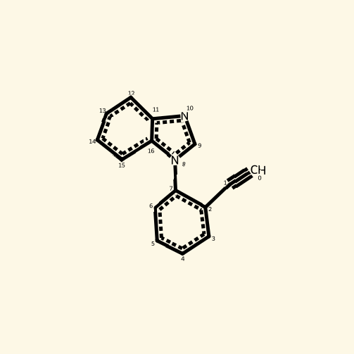 C#Cc1ccccc1-n1cnc2ccccc21